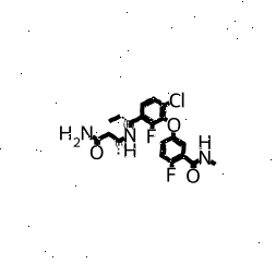 CC[C@@H](N[C@H](C)CC(N)=O)c1ccc(Cl)c(Oc2ccc(F)c(C(=O)NC)c2)c1F